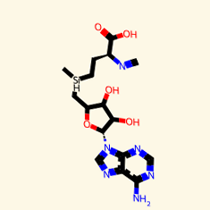 C=N[C@@H](CC[SiH](C)CC1O[C@@H](n2cnc3c(N)ncnc32)C(O)C1O)C(=O)O